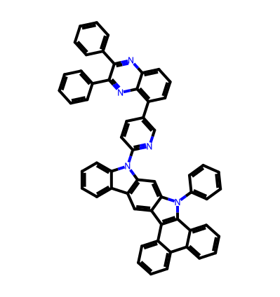 c1ccc(-c2nc3cccc(-c4ccc(-n5c6ccccc6c6cc7c8c9ccccc9c9ccccc9c8n(-c8ccccc8)c7cc65)nc4)c3nc2-c2ccccc2)cc1